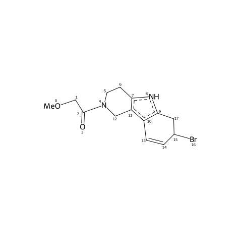 COCC(=O)N1CCc2[nH]c3c(c2C1)C=CC(Br)C3